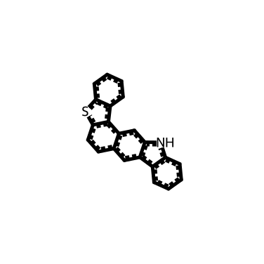 c1ccc2c(c1)[nH]c1cc3c(ccc4sc5ccccc5c43)cc12